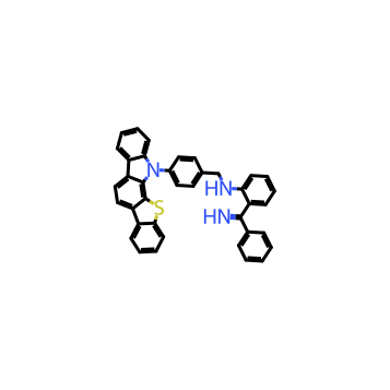 N=C(c1ccccc1)c1ccccc1NCc1ccc(-n2c3ccccc3c3ccc4c5ccccc5sc4c32)cc1